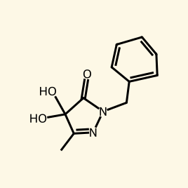 CC1=NN(Cc2ccccc2)C(=O)C1(O)O